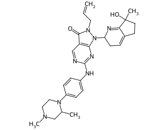 C=CCn1c(=O)c2cnc(Nc3ccc(N4CCN(C)CC4C)cc3)nc2n1C1CC=C2CCC(C)(O)C2=N1